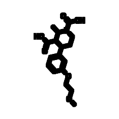 COCCOc1cccc(C2CCN(C(=O)O)C(C)C2C(=O)O)c1